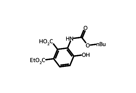 CCCCOC(=O)Nc1c(O)ccc(C(=O)OCC)c1C(=O)O